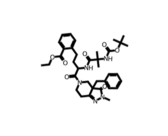 CCOC(=O)c1ccccc1CCC(NC(=O)C(C)(C)NC(=O)OC(C)(C)C)C(=O)N1CCC2=NN(C)C(=O)C2(Cc2ccccc2)C1